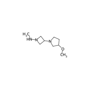 CNN1CC(N2CCC(OC)C2)C1